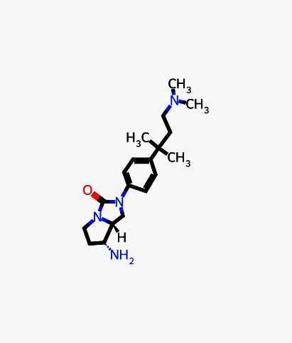 CN(C)CCC(C)(C)c1ccc(N2C[C@@H]3[C@H](N)CCN3C2=O)cc1